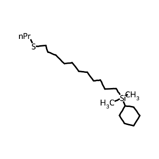 CCCSCCCCCCCCCCC[Si](C)(C)C1CCCCC1